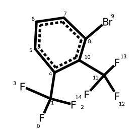 FC(F)(F)c1cccc(Br)c1C(F)(F)F